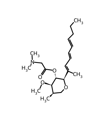 CCCC=CC=CC=C(C)[C@H]1OC[C@@H](C)[C@@H](OC)[C@@H]1OC(=O)CN(C)C